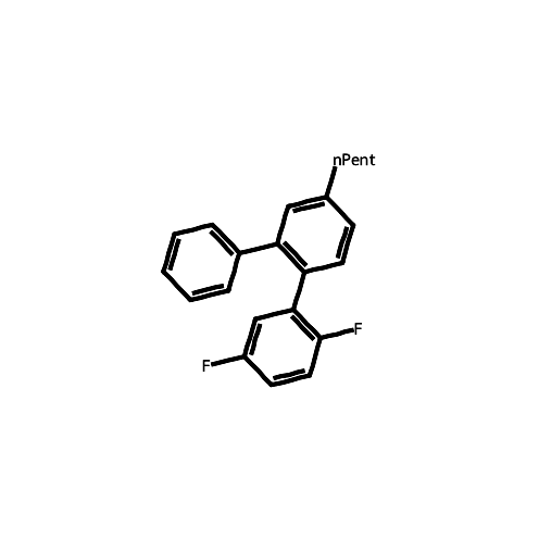 CCCCCc1ccc(-c2cc(F)ccc2F)c(-c2ccccc2)c1